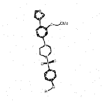 COCOc1cc(N2CCN(S(=O)(=O)c3ccc(OC(C)C)cc3)CC2)ccc1-c1ccoc1